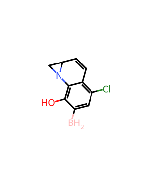 Bc1cc(Cl)c2c(c1O)N1CC1C=C2